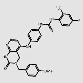 COc1ccc(CN2Cc3c(Nc4ccc(NC(=O)Nc5ccc(F)cc5C(F)(F)F)cc4)ccnc3NC2=O)cc1